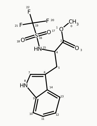 COC(=O)C(Cc1c[nH]c2ccccc12)NS(=O)(=O)C(F)(F)F